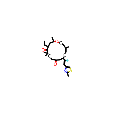 CCC1CC(C)OCCC(C)=CCC(C(F)=Cc2csc(C)n2)CC(=O)CCC(C)(C)C1=O